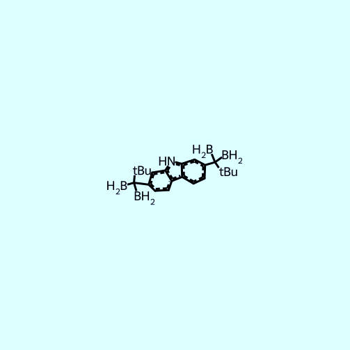 BC(B)(c1ccc2c(c1)[nH]c1cc(C(B)(B)C(C)(C)C)ccc12)C(C)(C)C